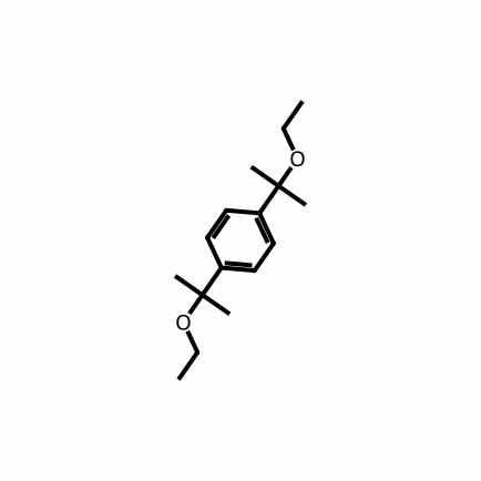 CCOC(C)(C)c1ccc(C(C)(C)OCC)cc1